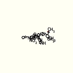 CC1(C)CCC(CN2CCN(c3ccc(C(=O)NS(=O)(=O)c4ccc(NCC5CC6(CCCCC6)C5)c([N+](=O)[O-])c4)c(Oc4cnc5[nH]ccc5c4)c3)CC2)=C(C23CC(C)(C2)C3)C1